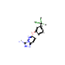 NC1NN=C2C=CC(Oc3cccc(C(F)(F)F)c3)=NN21